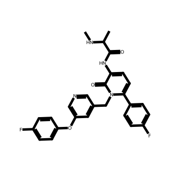 CNC(C)C(=O)Nc1ccc(-c2ccc(F)cc2)n(Cc2cncc(Oc3ccc(F)cc3)c2)c1=O